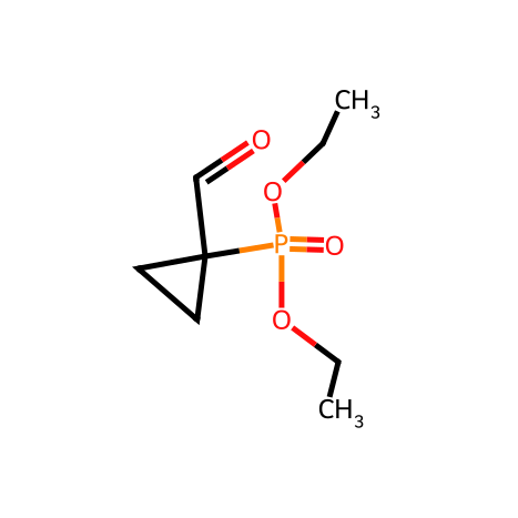 CCOP(=O)(OCC)C1(C=O)CC1